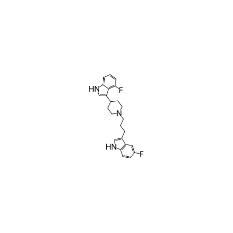 Fc1ccc2[nH]cc(CCCN3CCC(c4c[nH]c5cccc(F)c45)CC3)c2c1